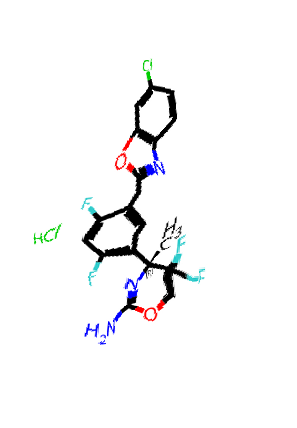 C[C@]1(c2cc(-c3nc4ccc(Cl)cc4o3)c(F)cc2F)N=C(N)OCC1(F)F.Cl